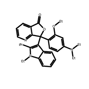 CCOc1cc(N(CC)CC)ccc1C1(c2c(C(C)C)n(CC)c3ccccc23)OC(=O)c2cccnc21